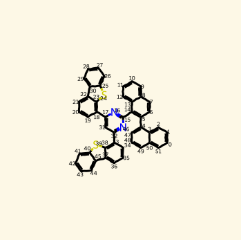 c1ccc2c(-c3ccc4ccccc4c3-c3nc(-c4cccc5c4sc4ccccc45)cc(-c4cccc5c4sc4ccccc45)n3)cccc2c1